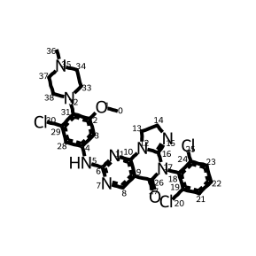 COc1cc(Nc2ncc3c(n2)N2CCN=C2N(c2c(Cl)cccc2Cl)C3=O)cc(Cl)c1N1CCN(C)CC1